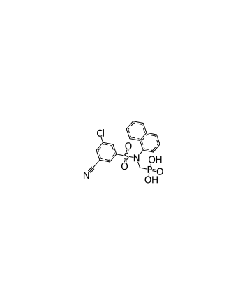 N#Cc1cc(Cl)cc(S(=O)(=O)N(CP(=O)(O)O)c2cccc3ccccc23)c1